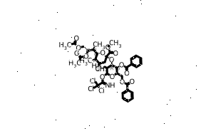 COC(=O)[C@@]1(O[C@@H]2C(C)C(OC(=N)C(Cl)(Cl)Cl)OC(COC(=O)c3ccccc3)[C@@H]2OC(=O)c2ccccc2)CC(C)[C@@H](C)[C@H]([C@H](C)[C@@H](COC(C)=O)OC(C)=O)O1